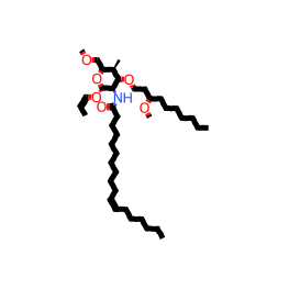 C/C=C\O[C@H]1OC(COC)[C@@H](C)C(OCCC(CCCCCCC)OC)[C@H]1NC(=O)CCCCCCCCC/C=C\CCCCCC